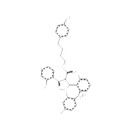 Cc1ccc(Cl)cc1N1N=C(c2ccccc2F)C(C(=O)NCCCCc2ccc(O)cc2)C1c1c(C)cccc1C